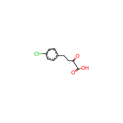 O=C(O)C(=O)CCc1ccc(Cl)cc1